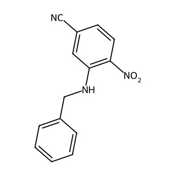 N#Cc1ccc([N+](=O)[O-])c(NCc2ccccc2)c1